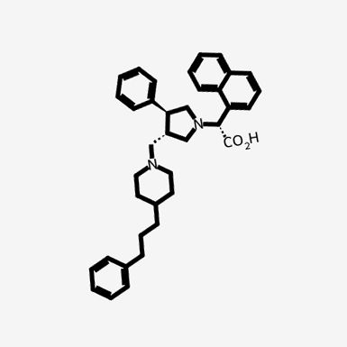 O=C(O)[C@@H](c1cccc2ccccc12)N1C[C@H](CN2CCC(CCCc3ccccc3)CC2)[C@@H](c2ccccc2)C1